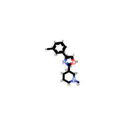 Cc1cccc(-c2coc(C3CCCN(C)C3)n2)c1